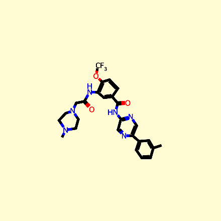 Cc1cccc(-c2cnc(NC(=O)c3ccc(OC(F)(F)F)c(NC(=O)CN4CCN(C)CC4)c3)cn2)c1